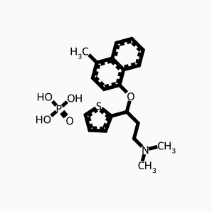 Cc1ccc(OC(CCN(C)C)c2cccs2)c2ccccc12.O=P(O)(O)O